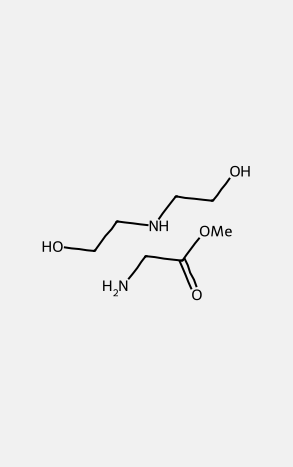 COC(=O)CN.OCCNCCO